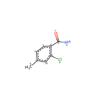 Cc1ccc(C([NH])=O)c(Cl)c1